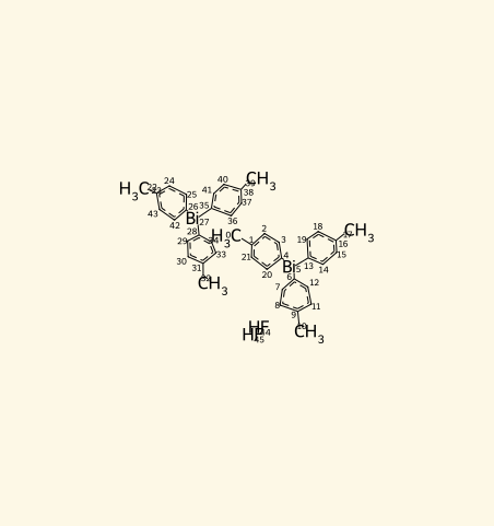 Cc1cc[c]([Bi]([c]2ccc(C)cc2)[c]2ccc(C)cc2)cc1.Cc1cc[c]([Bi]([c]2ccc(C)cc2)[c]2ccc(C)cc2)cc1.F.F